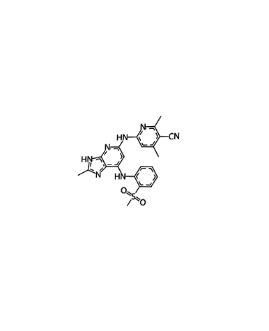 Cc1nc2c(Nc3ccccc3S(C)(=O)=O)cc(Nc3cc(C)c(C#N)c(C)n3)nc2[nH]1